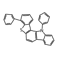 c1ccc(-c2cccc3c2sc2ccc4c5ccccc5n(-c5ccccc5)c4c23)cc1